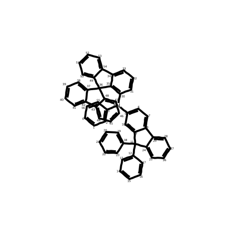 c1ccc(N(c2ccc3c(c2)C(c2ccccc2)(c2ccccc2)c2ccccc2-3)c2cccc3c2C2(c4ccccc4-c4ccccc42)c2ccccc2-3)cc1